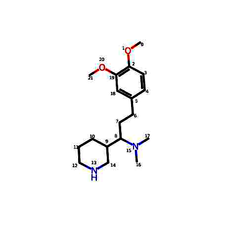 COc1ccc(CCC(C2CCCNC2)N(C)C)cc1OC